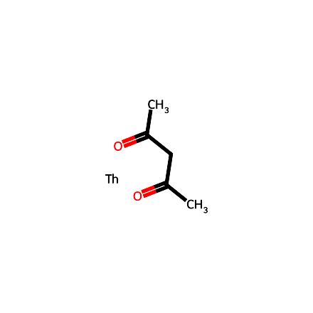 CC(=O)CC(C)=O.[Th]